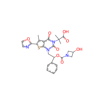 Cc1c(-c2ncco2)sc2c1c(=O)n(C(C)(C)C(=O)O)c(=O)n2CC(OC(=O)N1CC(O)C1)c1ccccc1